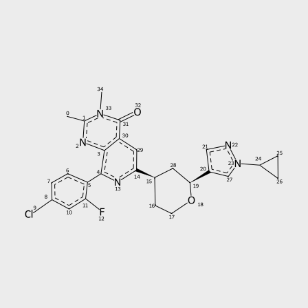 Cc1nc2c(-c3ccc(Cl)cc3F)nc([C@@H]3CCO[C@H](c4cnn(C5CC5)c4)C3)cc2c(=O)n1C